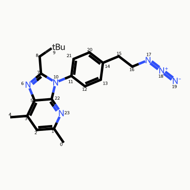 Cc1cc(C)c2nc(CC(C)(C)C)n(-c3ccc(CCN=[N+]=[N-])cc3)c2n1